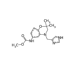 COC(=O)Nc1ccc2c(c1)N(Cc1c[nH]cn1)CC(C)(C)O2